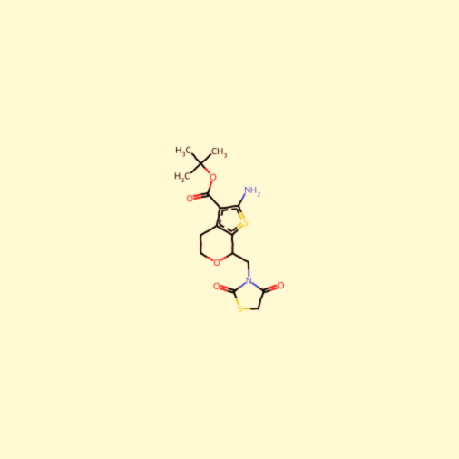 CC(C)(C)OC(=O)c1c(N)sc2c1CCOC2CN1C(=O)CSC1=O